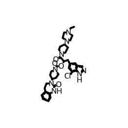 CCN1CCN(C2CCN(C(=O)C(Cc3cc(Cl)c4[nH]ncc4c3)OC(=O)N3CCC(N4CCc5ccccc5NC4=O)CC3)CC2)CC1